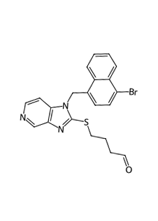 O=CCCCSc1nc2cnccc2n1Cc1ccc(Br)c2ccccc12